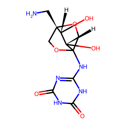 NC[C@@]12COC(Nc3nc(=O)[nH]c(=O)[nH]3)(CO1)[C@@H](O)[C@H]2O